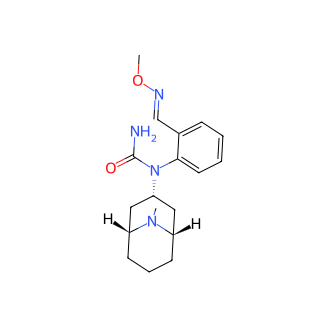 CO/N=C/c1ccccc1N(C(N)=O)[C@H]1C[C@H]2CCC[C@@H](C1)N2C